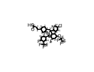 O=C(O)C=Cc1ccc(CC(NC(=O)c2ccc(F)c(C(F)(F)F)c2)(c2cc(F)cc(OC(F)(F)C(F)F)c2)c2ccc(Cl)cn2)cc1